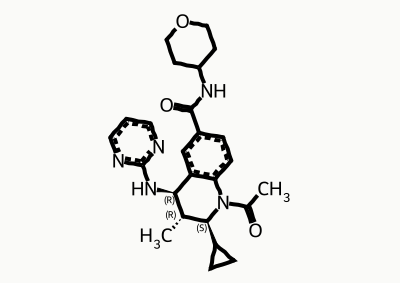 CC(=O)N1c2ccc(C(=O)NC3CCOCC3)cc2[C@H](Nc2ncccn2)[C@@H](C)[C@@H]1C1CC1